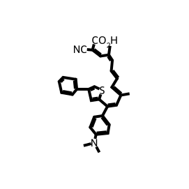 CC(=CC=CC=C(C)C=C(c1ccc(N(C)C)cc1)c1cc(-c2ccccc2)cs1)C=C(C#N)C(=O)O